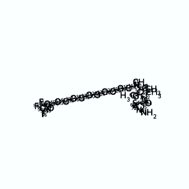 CCCN(Cc1cc(OC)c(CN(C)CCOCCOCCOCCOCCOCCOCCOCCOCCOCCOCCC(=O)Oc2c(F)c(F)cc(F)c2F)cc1OC)C(=O)C1=Cc2sccc2N=C(N)C1